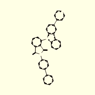 O=C1c2cccc(-n3c4ccccc4c4cc(-c5ccncc5)ccc43)c2C(=O)N1c1ccc(-c2ccccc2)cc1